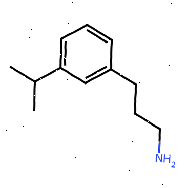 CC(C)c1cccc(CCCN)c1